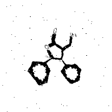 O=C1O[C@H](c2ccccc2)[C@H](c2ccccc2)C1CS